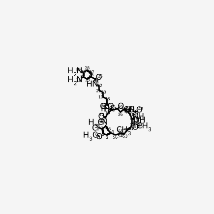 COc1cc2cc(c1Cl)N(C)C(=O)C[C@H](OC(=O)CCCCCNC(=O)c1ccc(N)c(N)c1)[C@@]1(C)CC(C)(O1)[C@@H]1C[C@@](O)(NC(=O)O1)[C@H](OC)/C=C/C=C(\C)C2